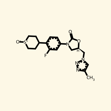 Cc1cn(C[C@H]2CN(c3ccc(C4CC[S+]([O-])CC4)c(F)c3)C(=O)O2)nn1